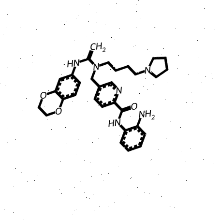 C=C(Nc1ccc2c(c1)OCCO2)N(CCCCN1CCCC1)Cc1ccc(C(=O)Nc2ccccc2N)nc1